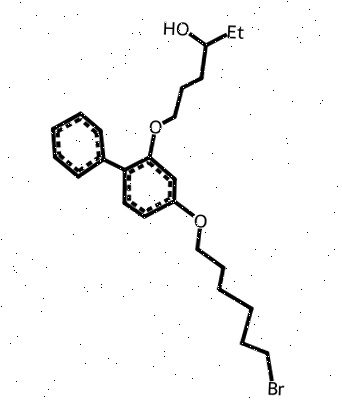 CCC(O)CCCOc1cc(OCCCCCCBr)ccc1-c1ccccc1